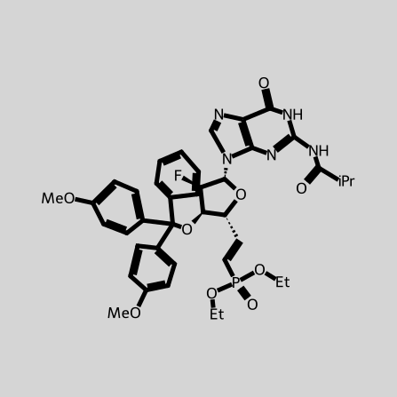 CCOP(=O)(/C=C/[C@H]1O[C@@H](n2cnc3c(=O)[nH]c(NC(=O)C(C)C)nc32)[C@H](F)[C@@H]1OC(c1ccccc1)(c1ccc(OC)cc1)c1ccc(OC)cc1)OCC